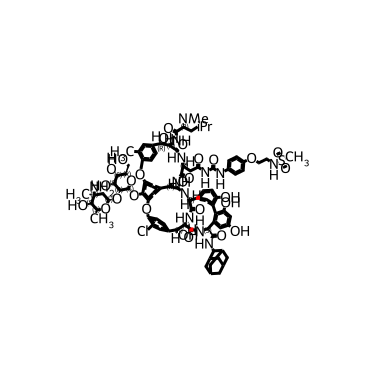 CN[C@H](CC(C)C)C(=O)N[C@H]1C(=O)N[C@@H](CC(=O)NC(=O)Nc2ccc(OCCNS(C)(=O)=O)cc2)C(=O)N[C@H]2C(=O)N[C@H]3C(=O)N[C@H](C(=O)N[C@H](C(=O)NC4C5CC6CC(C5)CC4C6)c4cc(O)cc(O)c4-c4cc3ccc4O)[C@H](O)c3ccc(c(Cl)c3)Oc3cc2cc(c3O[C@@H]2O[C@H](CO)[C@@H](O)[C@H](O)[C@H]2O[C@H]2C[C@](C)(N)[C@H](O)[C@H](C)O2)Oc2ccc(cc2C)[C@H]1O